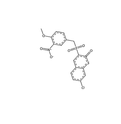 COc1ccc(CS(=O)(=O)c2cc3ccc(Cl)cc3sc2=O)cc1[N+](=O)[O-]